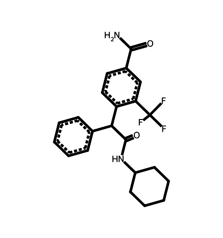 NC(=O)c1ccc(C(C(=O)NC2CCCCC2)c2ccccc2)c(C(F)(F)F)c1